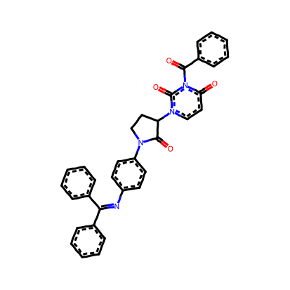 O=C1C(n2ccc(=O)n(C(=O)c3ccccc3)c2=O)CCN1c1ccc(N=C(c2ccccc2)c2ccccc2)cc1